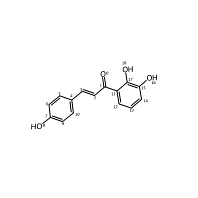 O=C(C=Cc1ccc(O)cc1)c1cccc(O)c1O